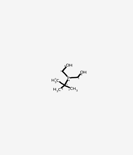 CC(C)(C)P(CO)CO